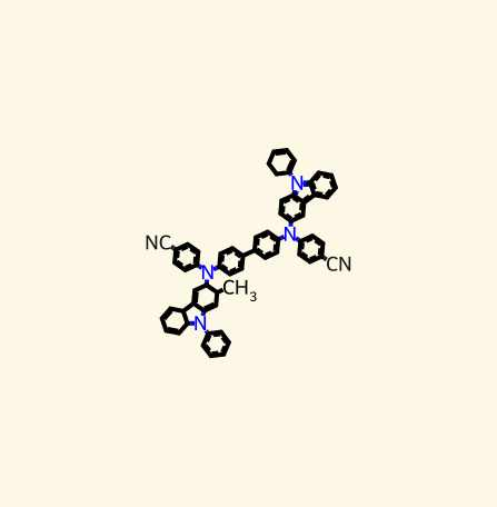 CC1C=C2C(=CC1N(c1ccc(C#N)cc1)c1ccc(-c3ccc(N(c4ccc(C#N)cc4)c4ccc5c(c4)c4ccccc4n5C4=CC=CCC4)cc3)cc1)C1C=CC=CC1N2c1ccccc1